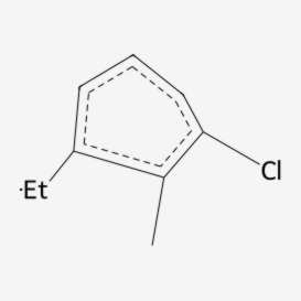 C[CH]c1cccc(Cl)c1C